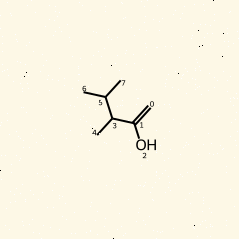 C=C(O)C(C)C(C)C